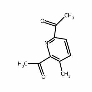 CC(=O)c1ccc(C)c(C(C)=O)n1